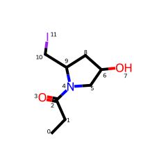 CCC(=O)N1CC(O)CC1CI